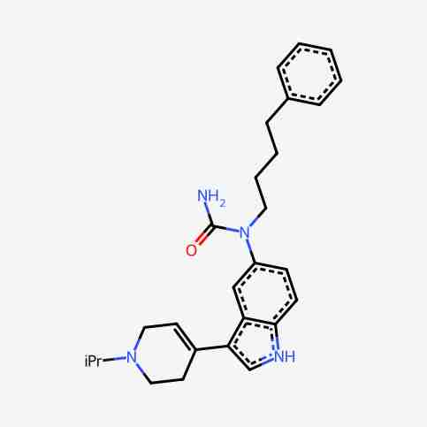 CC(C)N1CC=C(c2c[nH]c3ccc(N(CCCCc4ccccc4)C(N)=O)cc23)CC1